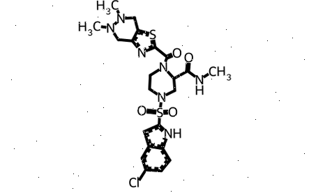 CNC(=O)C1CN(S(=O)(=O)c2cc3cc(Cl)ccc3[nH]2)CCN1C(=O)c1nc2c(s1)CN(C)N(C)C2